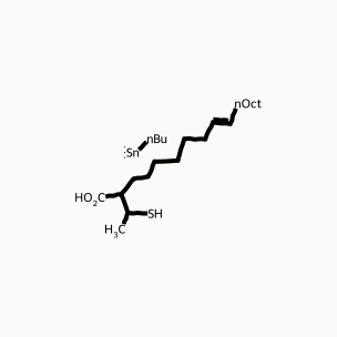 CCCCCCCCC=CCCCCCCC(C(=O)O)C(C)S.CCC[CH2][Sn]